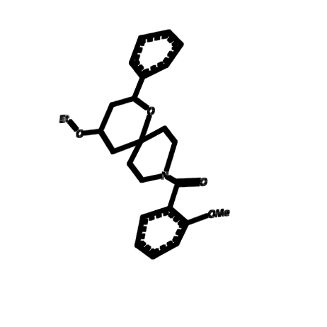 CCOC1CC(c2ccccc2)OC2(CCN(C(=O)c3ccccc3OC)CC2)C1